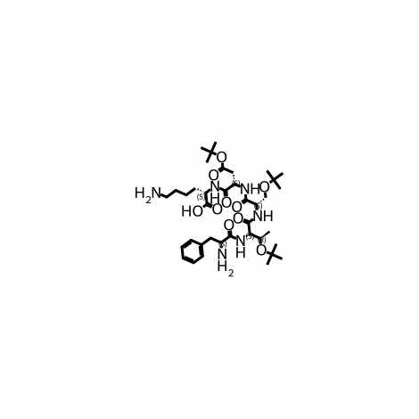 C[C@@H](OC(C)(C)C)[C@H](NC(=O)[C@@H](N)Cc1ccccc1)C(=O)N[C@@H](COC(C)(C)C)C(=O)N[C@@H](CC(=O)OC(C)(C)C)C(=O)N[C@@H](CCCCN)C(=O)O